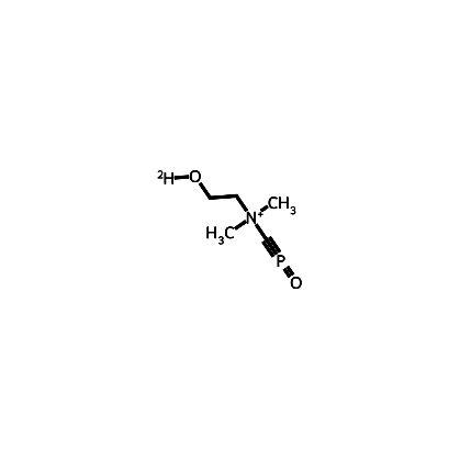 [2H]OCC[N+](C)(C)C#P=O